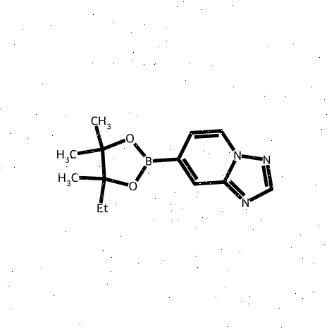 CCC1(C)OB(c2ccn3ncnc3c2)OC1(C)C